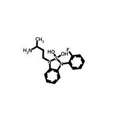 CC(N)CCN1c2ccccc2N(c2ccccc2F)S1(O)O